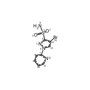 NS(=O)(=O)c1nn(-c2ccccn2)cc1Br